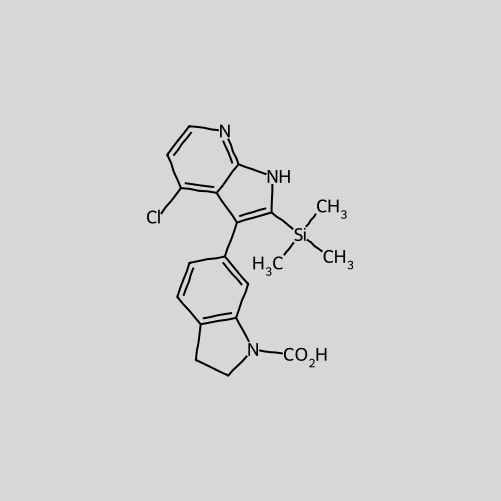 C[Si](C)(C)c1[nH]c2nccc(Cl)c2c1-c1ccc2c(c1)N(C(=O)O)CC2